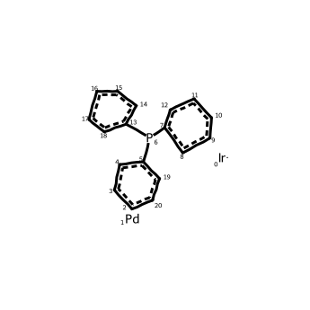 [Ir].[Pd].c1ccc(P(c2ccccc2)c2ccccc2)cc1